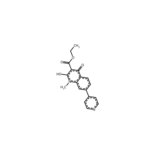 CCOC(=O)c1c(O)n(C)c2cc(-c3ccncc3)ccc2c1=O